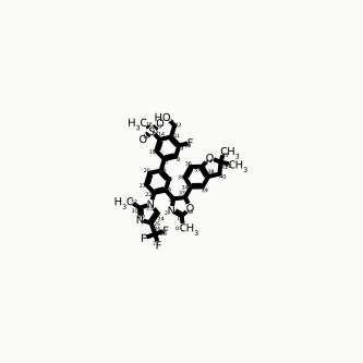 CC1=NC(c2cc(-c3cc(F)c(CO)c(S(C)(=O)=O)c3)ccc2-n2cc(C(F)(F)F)nc2C)C(c2ccc3c(c2)CC(C)(C)O3)O1